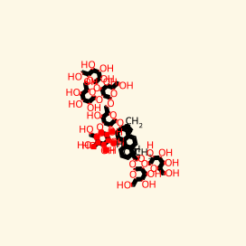 C=C1C[C@@]23CC[C@H]4[C@@](C)(CCC[C@@]4(C)C(=O)OC4OC(CO)C(O)C(O)C4OC4OC(CO)C(O)C(O)C4O)[C@@H]2CCC1(OC1OC(COC2OC(CO)C(O)C(OC4OC(CO)C(O)C(O)C4O)C2OC2OC(CO)C(O)C(O)C2O)C(O)C(OC2OC(CO)C(O)C(O)C2O)C1OC1OC(CO)C(O)C(O)C1O)C3